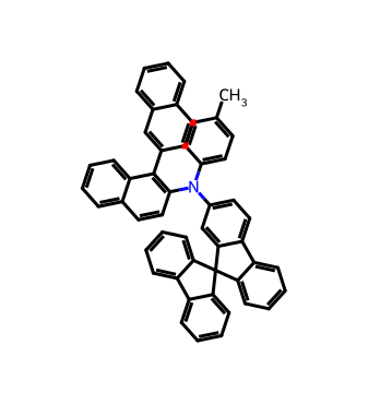 Cc1ccc(N(c2ccc3c(c2)C2(c4ccccc4-c4ccccc42)c2ccccc2-3)c2ccc3ccccc3c2-c2ccc3ccccc3c2)cc1